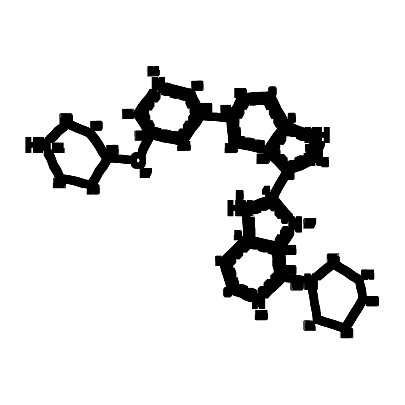 c1cc2[nH]c(-c3n[nH]c4ccc(-c5cncc(OC6CCNCC6)c5)cc34)nc2c(N2CCCCC2)n1